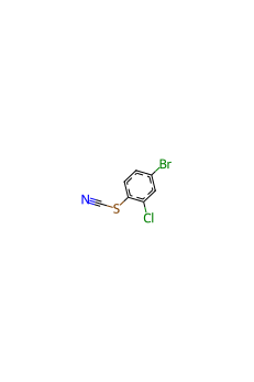 N#CSc1ccc(Br)cc1Cl